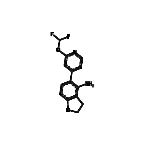 Nc1c(-c2ccnc(OC(F)F)c2)ccc2c1CCO2